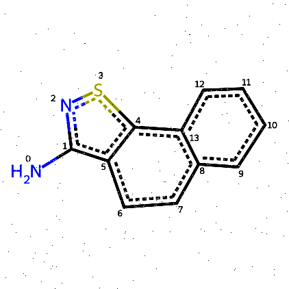 Nc1nsc2c1ccc1ccccc12